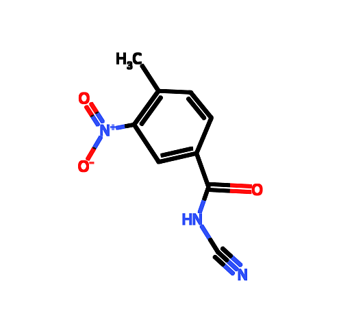 Cc1ccc(C(=O)NC#N)cc1[N+](=O)[O-]